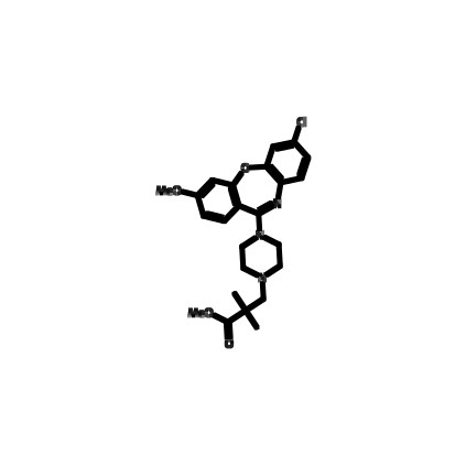 COC(=O)C(C)(C)CN1CCN(C2=Nc3ccc(Cl)cc3Oc3cc(OC)ccc32)CC1